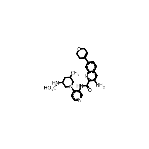 Nc1cc2ccc(C3=CCOCC3)cc2nc1C(=O)Nc1cnccc1N1CC(NC(=O)O)CC(C(F)(F)F)C1